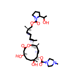 C/C(=C\C=C\[C@@H](C)COC(=O)N1CCCC1C(C)O)[C@H]1OC(=O)C[C@H](O)CC[C@@](C)(O)[C@@H](OC(=O)N2CCN(C)CC2)/C=C/[C@@H]1C